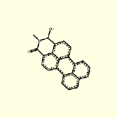 CN1C(=O)c2ccc3c4cccc5cccc(c6ccc(c2c36)C1O)c54